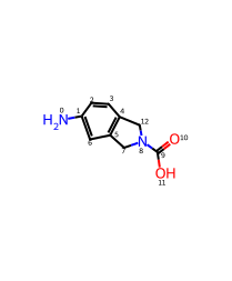 Nc1ccc2c(c1)CN(C(=O)O)C2